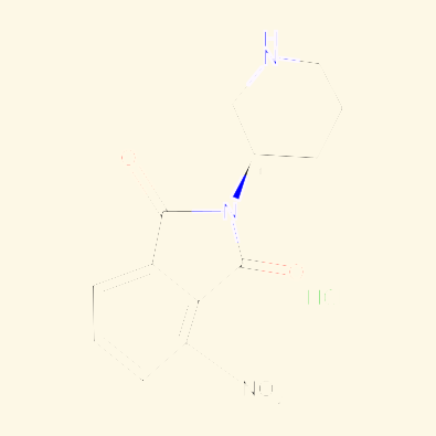 Cl.O=C1c2cccc([N+](=O)[O-])c2C(=O)N1[C@@H]1CCCNC1